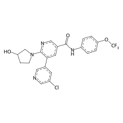 O=C(Nc1ccc(OC(F)(F)F)cc1)c1cnc(N2CCC(O)C2)c(-c2cncc(Cl)c2)c1